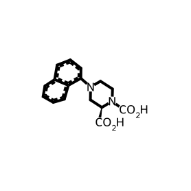 O=C(O)[C@H]1CN(c2cccc3ccccc23)CCN1C(=O)O